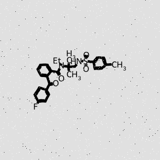 CCN(C(=O)c1ccccc1C(=O)c1ccc(F)cc1)C(C)(C)CNS(=O)(=O)c1ccc(C)cc1